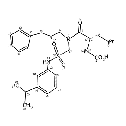 CC(C)C[C@H](NC(=O)O)C(=O)N(CCCc1ccccc1)CS(=O)(=O)Nc1cccc(C(C)O)c1